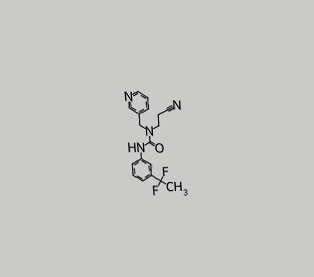 CC(F)(F)c1cccc(NC(=O)N(CCC#N)Cc2cccnc2)c1